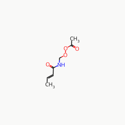 CC=CC(=O)NCOOC(C)=O